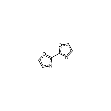 c1coc(-c2ncco2)n1